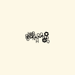 COc1ccccc1Oc1ccccc1NC(=O)CC(=O)Nc1nc(CNS(C)(=O)=O)c(S(C)(=O)=O)s1